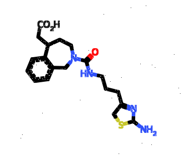 NC1N=C(CCCNC(=O)N2CCC(CC(=O)O)c3ccccc3C2)CS1